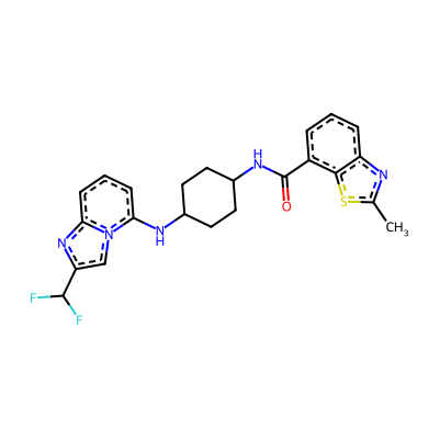 Cc1nc2cccc(C(=O)NC3CCC(Nc4cccc5nc(C(F)F)cn45)CC3)c2s1